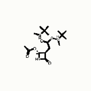 CC(=O)O[C@H]1NC(=O)C1CC(O[SiH](C)C(C)(C)C)O[SiH](C)C(C)(C)C